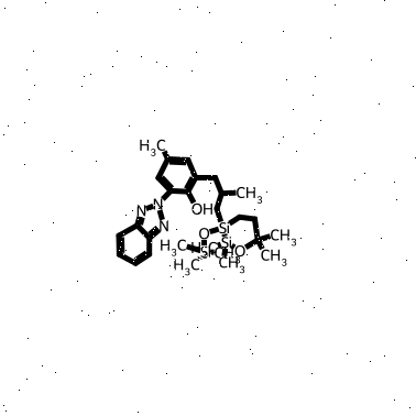 Cc1cc(CC(C)C[Si]2(O[Si](C)(C)C)CCC(C)(C)O[Si]2(C)C)c(O)c(-n2nc3ccccc3n2)c1